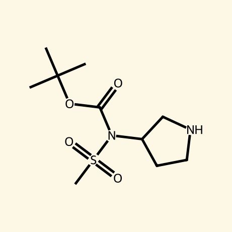 CC(C)(C)OC(=O)N(C1CCNC1)S(C)(=O)=O